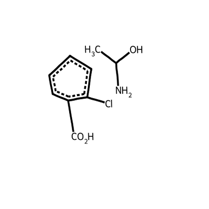 CC(N)O.O=C(O)c1ccccc1Cl